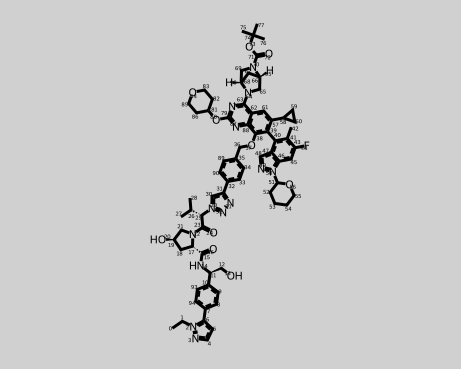 CCn1nccc1-c1ccc([C@H](CO)NC(=O)[C@@H]2C[C@@H](O)CN2C(=O)[C@H](C(C)C)n2cc(-c3ccc(COc4c(-c5c(C)c(F)cc6c5cnn6C5CCCCO5)c(C5CC5)cc5c(N6C[C@@H]7C[C@H]6CN7C(=O)OC(C)(C)C)nc(OC6CCOCC6)nc45)cc3)nn2)cc1